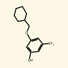 Oc1cc(OCC2CCCCC2)cc(C(F)(F)F)c1